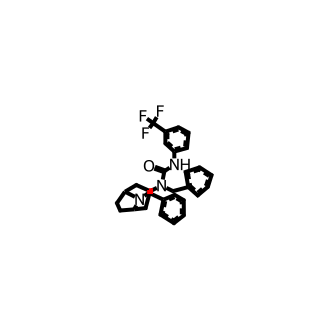 O=C(Nc1cccc(C(F)(F)F)c1)N(Cc1ccccc1)C1CC2CCC(C1)N2Cc1ccccc1